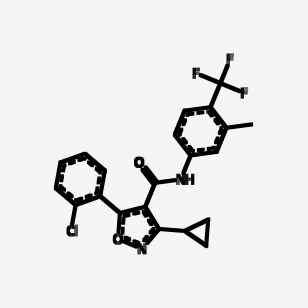 Cc1cc(NC(=O)c2c(C3CC3)noc2-c2ccccc2Cl)ccc1C(F)(F)F